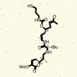 COC1=CC[C@@H]([C@@H](C)CN[C@H](C(=O)N/C=C\C[C@H](C/C=C(\C)Cl)OC(=O)NCCCS)C(C)(C)C)OC1=O